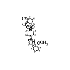 COc1ccccc1-c1csc(N2CCN(S(=O)(=O)c3cccc(Cl)c3Cl)CC2)n1